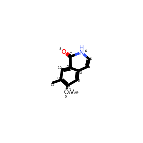 COc1cc2cc[nH]c(=O)c2cc1C